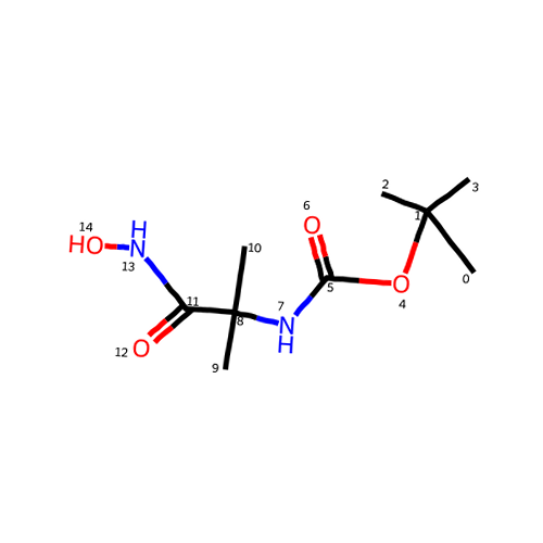 CC(C)(C)OC(=O)NC(C)(C)C(=O)NO